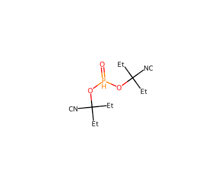 [C-]#[N+]C(CC)(CC)O[PH](=O)OC(CC)(CC)[N+]#[C-]